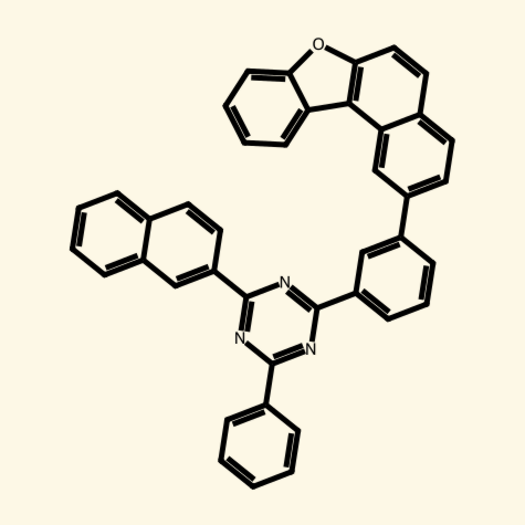 c1ccc(-c2nc(-c3cccc(-c4ccc5ccc6oc7ccccc7c6c5c4)c3)nc(-c3ccc4ccccc4c3)n2)cc1